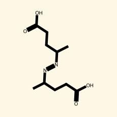 CC(CCC(=O)O)N=NC(C)CCC(=O)O